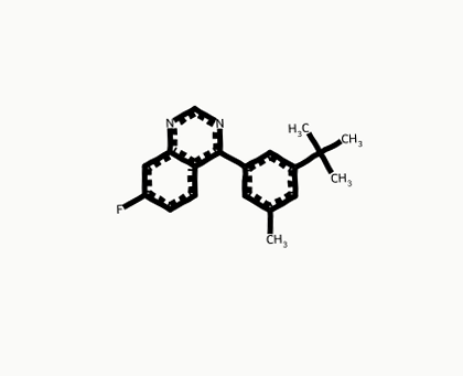 Cc1cc(-c2ncnc3cc(F)ccc23)cc(C(C)(C)C)c1